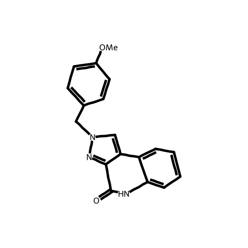 COc1ccc(Cn2cc3c(n2)c(=O)[nH]c2ccccc23)cc1